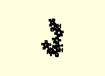 C[C@H](c1nc2c(cnn2C2CCCC2)c(=O)[nH]1)N1CCC(c2cccc(C(=O)NC3CCC3)c2)C1